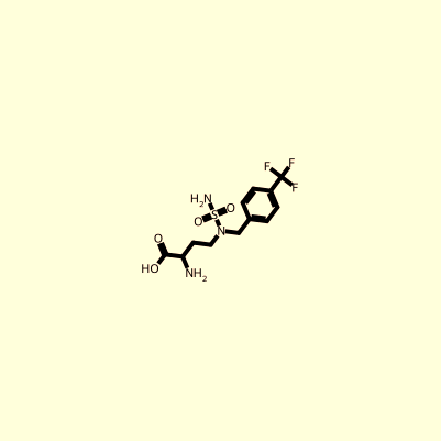 NC(CCN(Cc1ccc(C(F)(F)F)cc1)S(N)(=O)=O)C(=O)O